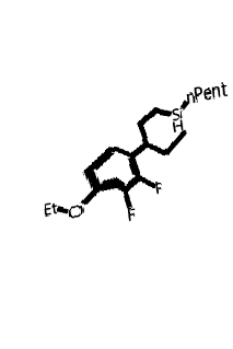 CCCCC[SiH]1CCC(c2ccc(OCC)c(F)c2F)CC1